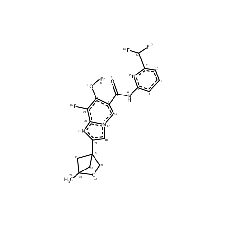 CC(C)Oc1c(C(=O)Nc2cccc(C(F)F)n2)cn2cc(C34COC(C)(C3)C4)nc2c1F